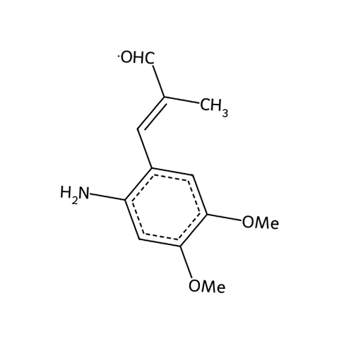 COc1cc(N)c(/C=C(\C)[C]=O)cc1OC